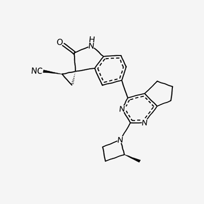 C[C@H]1CCN1c1nc2c(c(-c3ccc4c(c3)[C@]3(C[C@H]3C#N)C(=O)N4)n1)CCC2